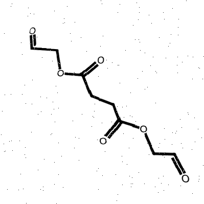 O=CCOC(=O)CCC(=O)OCC=O